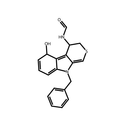 O=CNC1CSC=c2c1c1c(n2Cc2ccccc2)=CC=CC1O